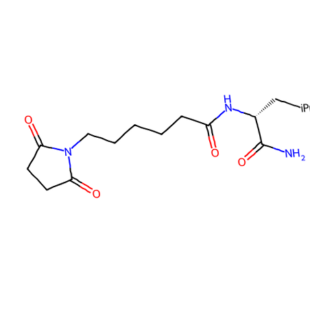 CC(C)C[C@@H](NC(=O)CCCCCN1C(=O)CCC1=O)C(N)=O